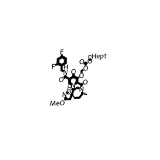 CCCCCCCOC(=O)OCOc1c2n(cc(C(=O)NCc3ccc(F)cc3F)c1=O)[C@@H]1CN(C2=O)[C@@H](C)CC[C@]12CC(OC)=NO2